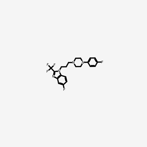 Fc1ccc(N2CCN(CCCn3c(C(F)(F)F)nc4cc(F)ccc43)CC2)cc1